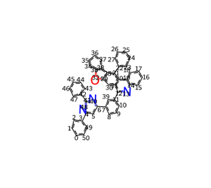 c1ccc(-c2cc(-c3cccc(-c4nc5ccccc5c5c(-c6ccccc6)c6c(cc45)oc4ccccc46)c3)nc(-c3ccccc3)n2)cc1